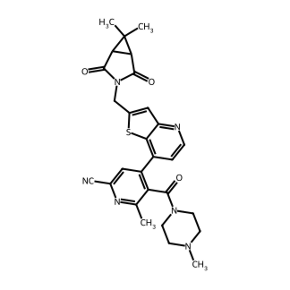 Cc1nc(C#N)cc(-c2ccnc3cc(CN4C(=O)C5C(C4=O)C5(C)C)sc23)c1C(=O)N1CCN(C)CC1